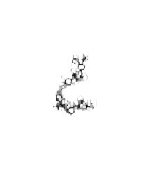 CCc1cc(N2C(=S)N(c3ccc(C#N)c(C(F)(F)F)c3)C(=O)C2(C)C)ccc1OCCN1CCN(C2(C(=O)Nc3cccc(NC4CCC(=O)NC4=O)c3)CC2)CC1